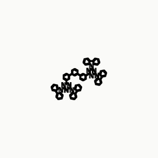 c1cc(-c2cccc(-c3nc(-n4c5ccccc5c5ccccc54)nc(-n4c5ccccc5c5ccccc54)n3)c2)cc(-c2cccc(-c3nc(-n4c5ccccc5c5ccccc54)nc(-n4c5ccccc5c5ccccc54)n3)c2)c1